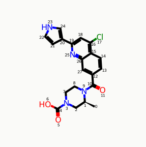 C[C@H]1CN(C(=O)O)CCN1C(=O)c1ccc2c(Cl)cc(-c3cc[nH]c3)nc2c1